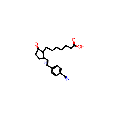 N#Cc1ccc(/C=C/C2CCC(=O)C2CCCCCCC(=O)O)cc1